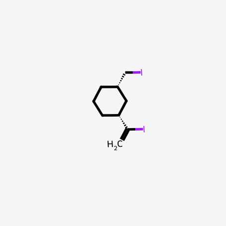 C=C(I)[C@@H]1CCC[C@H](CI)C1